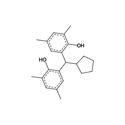 Cc1cc(C)c(O)c(C(c2cc(C)cc(C)c2O)C2CCCC2)c1